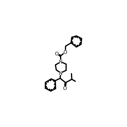 CC(C)C(=O)C(c1ccccc1)N1CCN(C(=O)OCc2ccccc2)CC1